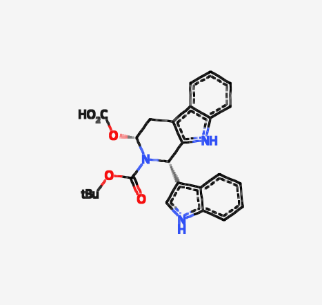 CC(C)(C)OC(=O)N1[C@@H](c2c[nH]c3ccccc23)c2[nH]c3ccccc3c2C[C@H]1OC(=O)O